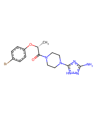 C[C@@H](Oc1ccc(Br)cc1)C(=O)N1CCN(c2nc(N)n[nH]2)CC1